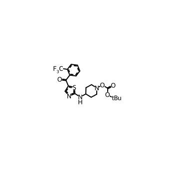 CC(C)(C)OC(=O)ON1CCC(Nc2ncc(C(=O)c3ccccc3C(F)(F)F)s2)CC1